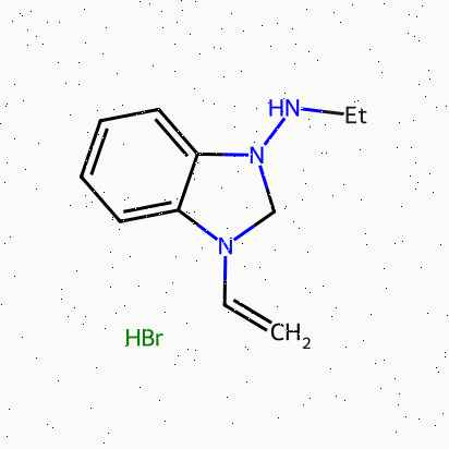 Br.C=CN1CN(NCC)c2ccccc21